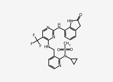 CS(=O)(=O)N(c1ncccc1CNc1nc(Nc2cccc3c2NC(=O)C3)ncc1C(F)(F)F)C1CC1